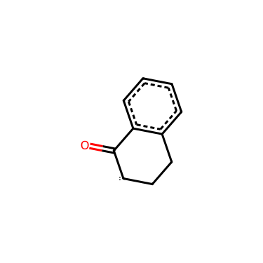 O=C1[C]CCc2ccccc21